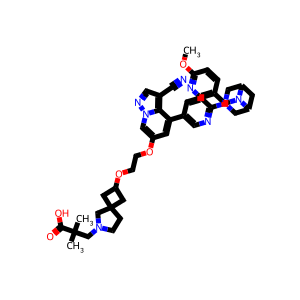 COc1ccc(CN2C3CC2CN(c2ccc(-c4cc(OCCOC5CC6(CCN(CC(C)(C)C(=O)O)C6)C5)cn5ncc(C#N)c45)cn2)C3)cn1